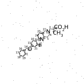 CC(CN1CCc2nc(-c3ccc(OCc4ccccc4)cc3F)ccc2C1)C(=O)O